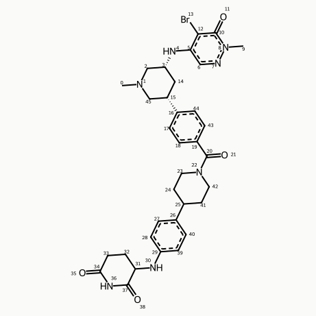 CN1C[C@H](Nc2cnn(C)c(=O)c2Br)C[C@H](c2ccc(C(=O)N3CCC(c4ccc(NC5CCC(=O)NC5=O)cc4)CC3)cc2)C1